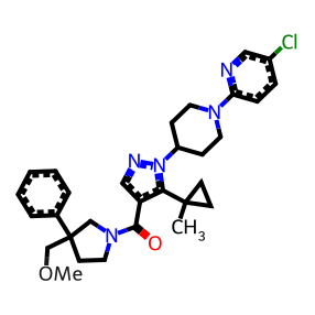 COCC1(c2ccccc2)CCN(C(=O)c2cnn(C3CCN(c4ccc(Cl)cn4)CC3)c2C2(C)CC2)C1